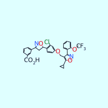 O=C(O)c1cccc(C2=NOC(c3ccc(OCc4c(-c5ccccc5OC(F)(F)F)noc4C4CC4)cc3Cl)C2)c1